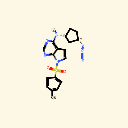 Cc1ccc(S(=O)(=O)n2ccc3c(N(C)[C@@H]4CC[C@H](N=[N+]=[N-])C4)ncnc32)cc1